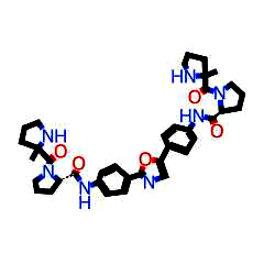 CC1(C(=O)N2CCC[C@H]2C(=O)Nc2ccc(-c3cnc(-c4ccc(NC(=O)[C@@H]5CCCN5C(=O)C5(C)CCCN5)cc4)o3)cc2)CCCN1